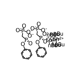 CCC[CH2][Sn+2][CH2]CCC.CCC[CH2][Sn+2][CH2]CCC.CCC[CH2][Sn+2][CH2]CCC.O=P([O-])([O-])CP(=O)([O-])Oc1ccccc1.O=P([O-])([O-])CP(=O)([O-])Oc1ccccc1